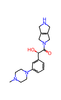 CN1CCN(c2cccc([C@@H](O)C(=O)N3CC4=C(CNC4)C3)c2)CC1